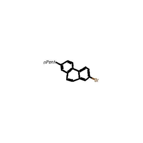 CCCCCc1ccc2c(ccc3cc(Br)ccc32)c1